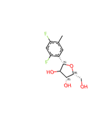 Cc1cc([C@@H]2O[C@H](CO)[C@H](O)C2O)c(F)cc1F